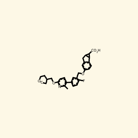 Cc1nc(OCC2CCOCC2)ccc1-c1ccc(F)c(COc2ccc3c(c2)CC2C(C(=O)O)C32)c1